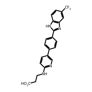 O=C(O)CCNc1ccc(-c2ccc(-c3nc4cc(C(F)(F)F)ccc4[nH]3)cc2)cn1